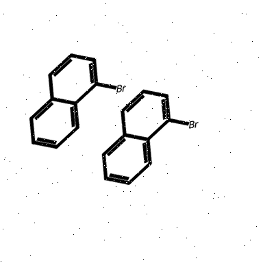 Brc1cccc2ccccc12.Brc1cccc2ccccc12